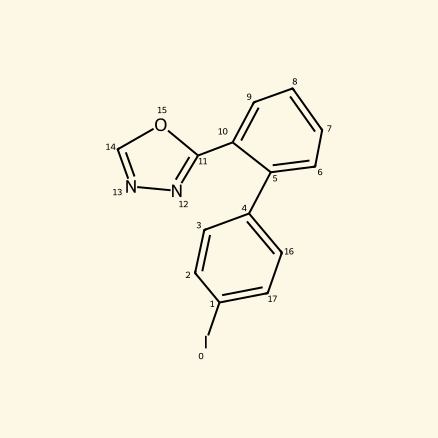 Ic1ccc(-c2ccccc2-c2nnco2)cc1